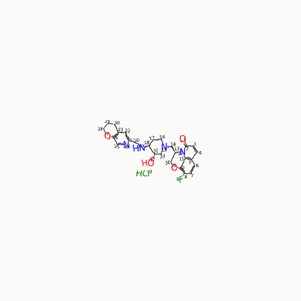 Cl.O=c1ccc2ccc(F)c3c2n1[C@H](CN1CC[C@H](NCc2cc4c(cn2)OCCC4)[C@H](O)C1)CO3